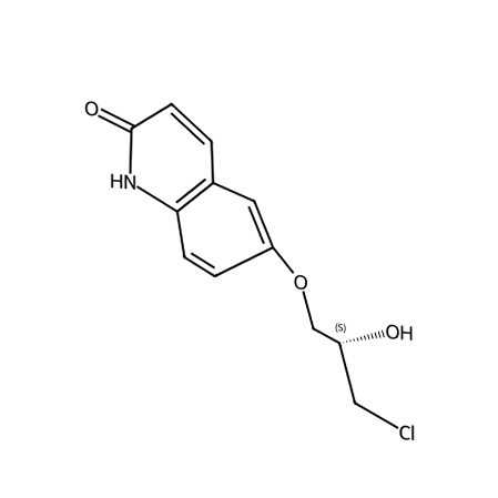 O=c1ccc2cc(OC[C@H](O)CCl)ccc2[nH]1